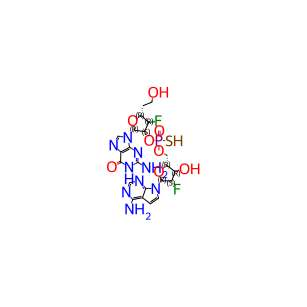 Nc1nc2c(ncn2[C@@H]2O[C@H](CCO)[C@@H](F)[C@H]2OP(=O)(S)OC[C@H]2O[C@@H](n3ccc4c(N)ncnc43)[C@@H](F)[C@@H]2O)c(=O)[nH]1